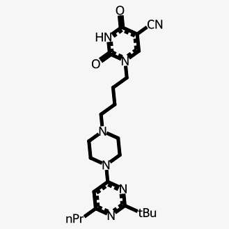 CCCc1cc(N2CCN(CCCCn3cc(C#N)c(=O)[nH]c3=O)CC2)nc(C(C)(C)C)n1